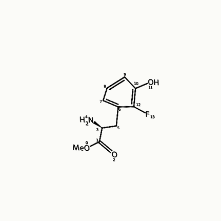 COC(=O)[C@@H](N)Cc1cccc(O)c1F